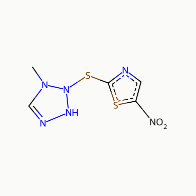 CN1C=NNN1Sc1ncc([N+](=O)[O-])s1